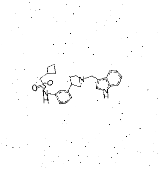 O=S(=O)(CC1CCC1)Nc1cccc(C2CCN(Cc3c[nH]c4ccccc34)C2)c1